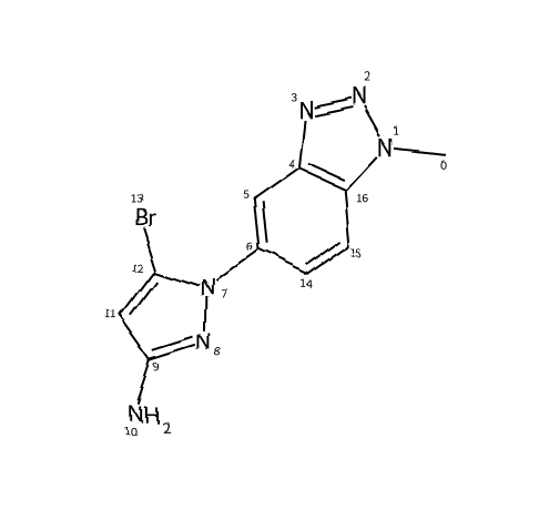 Cn1nnc2cc(-n3nc(N)cc3Br)ccc21